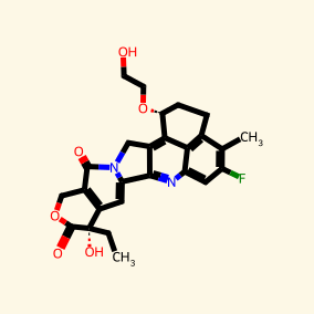 CC[C@@]1(O)C(=O)OCc2c1cc1n(c2=O)Cc2c-1nc1cc(F)c(C)c3c1c2[C@H](OCCO)CC3